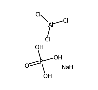 O=P(O)(O)O.[Cl][Al]([Cl])[Cl].[NaH]